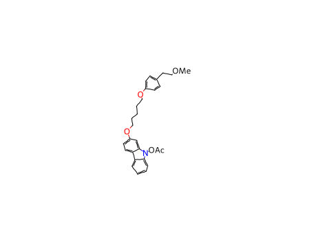 COCCc1ccc(OCCCCCOc2ccc3c4ccccc4n(OC(C)=O)c3c2)cc1